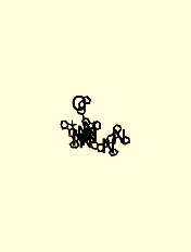 CC1(C)c2ccccc2-c2cc3c4ccccc4n(-c4nc(-c5ccc6ccc(N(c7ccccc7)c7ccc8c9ccccc9n(-c9ccccc9)c8c7)cc6c5)nc(-n5c6ccccc6c6cc(-c7ccc8oc9ccccc9c8c7)ccc65)n4)c3cc21